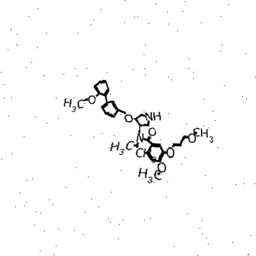 CCOc1ccccc1-c1cccc(CO[C@@H]2CNC[C@H]2CN(C(=O)c2ccc(OC)c(OCCCOC)c2)C(C)C)c1